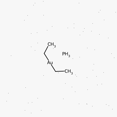 C[CH2][Au][CH2]C.P